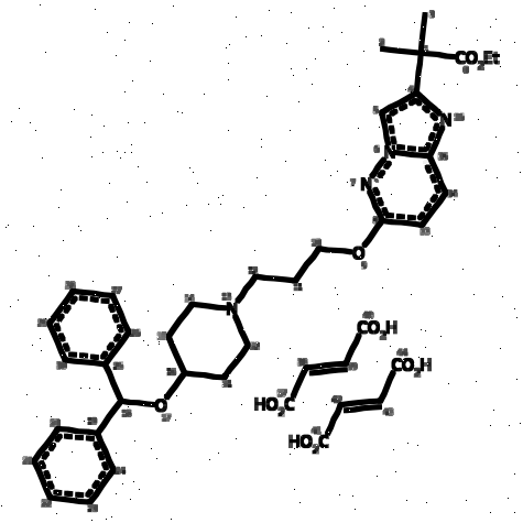 CCOC(=O)C(C)(C)c1cn2nc(OCCCN3CCC(OC(c4ccccc4)c4ccccc4)CC3)ccc2n1.O=C(O)C=CC(=O)O.O=C(O)C=CC(=O)O